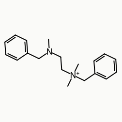 CN(CC[N+](C)(C)Cc1ccccc1)Cc1ccccc1